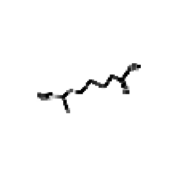 CCCC(=O)CCCCCC(C)OC(C)=O